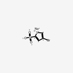 O=S(=O)([O-])c1cc(Br)cs1.[Na+]